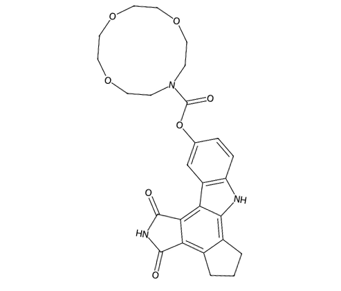 O=C1NC(=O)c2c1c1c(c3[nH]c4ccc(OC(=O)N5CCOCCOCCOCC5)cc4c23)CCC1